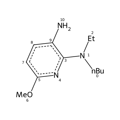 CCCCN(CC)c1nc(OC)ccc1N